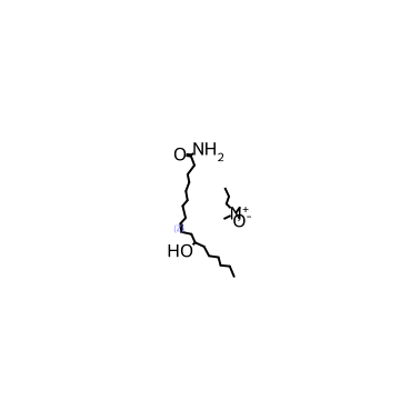 CCCCCCC(O)C/C=C\CCCCCCCC(N)=O.CCC[N+](C)(C)[O-]